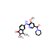 CCOc1cc(C(=O)N2CCCCC2)cnc1Nc1ccc2c(c1)C(C)C(C)C2=O